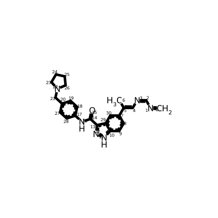 C=N/C=N\C=C(/C)c1ccc2[nH]nc(C(=O)Nc3ccc(CN4CCCC4)cc3)c2c1